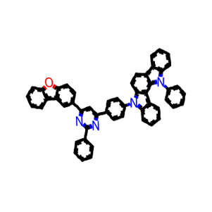 c1ccc(-c2nc(-c3ccc(-n4c5ccccc5c5c4ccc4c6ccccc6n(-c6ccccc6)c45)cc3)cc(-c3ccc4oc5ccccc5c4c3)n2)cc1